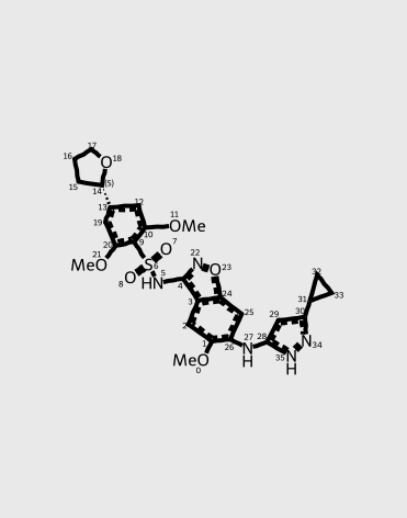 COc1cc2c(NS(=O)(=O)c3c(OC)cc([C@@H]4CCCO4)cc3OC)noc2cc1Nc1cc(C2CC2)n[nH]1